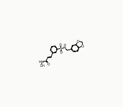 O=C(C=Cc1cccc(S(=O)(=O)NCc2ccc3c(c2)OCO3)c1)NO